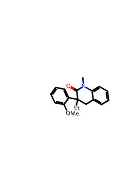 CCC1(c2ccccc2OC)Cc2ccccc2N(C)C1=O